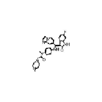 CN1CCN(CC(=O)N(C)c2ccc(N/C(=C3\C(=O)Nc4cc(F)ccc43)c3ccn4ccnc4c3)cc2)CC1